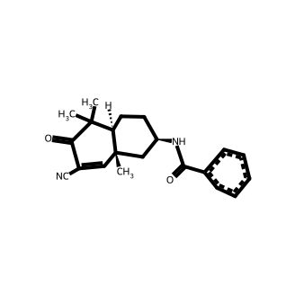 CC1(C)C(=O)C(C#N)=C[C@@]2(C)C[C@H](NC(=O)c3ccccc3)CC[C@H]12